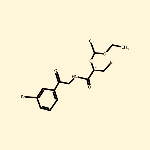 CCOC(C)O[C@@H](CBr)C(=O)NCC(=O)c1cccc(Br)c1